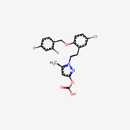 Cc1cc(OC(=O)O)nn1CCc1cc(Cl)ccc1OCc1ccc(F)cc1F